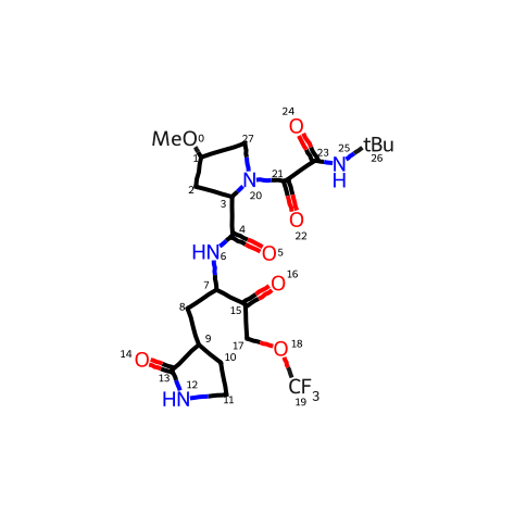 COC1CC(C(=O)NC(CC2CCNC2=O)C(=O)COC(F)(F)F)N(C(=O)C(=O)NC(C)(C)C)C1